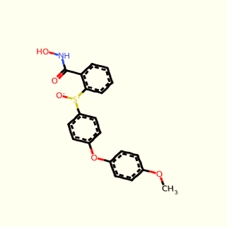 COc1ccc(Oc2ccc([S+]([O-])c3ccccc3C(=O)NO)cc2)cc1